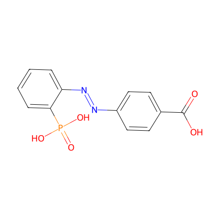 O=C(O)c1ccc(N=Nc2ccccc2P(=O)(O)O)cc1